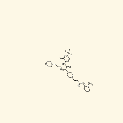 Nc1ccccc1NC(=O)C=Cc1ccc(C(NCCCN2CCOCC2)C(=O)Nc2ccc(C(F)(F)F)cc2F)cc1